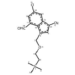 C[Si](C)(C)CCOCn1cc(C#N)c2cc(Cl)cc(C=O)c21